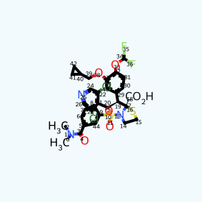 CN(C)C(=O)c1cccc(S(=O)(=O)N2CCS[C@]2(C(=O)O)[C@@H](Cc2c(Cl)cncc2Cl)c2ccc(OC(F)F)c(OCC3CC3)c2)c1